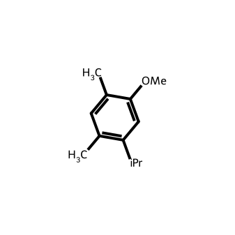 COc1cc(C(C)C)c(C)cc1C